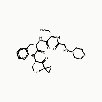 CC(C)C[C@H](NC(=O)CNN1CCSCC1)C(=O)N[C@@H](Cc1ccccc1)C(=O)N[C@@H](CC(C)C)C(=O)[C@@]1(C)CO1